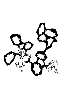 C=C(/N=C(\N=C(/N)c1ccccc1)c1cccc2c1sc1ccccc12)c1cccc2c1-c1ccc(-c3ccc4ccc5cccc6ccc3c4c56)cc1C2(C)C